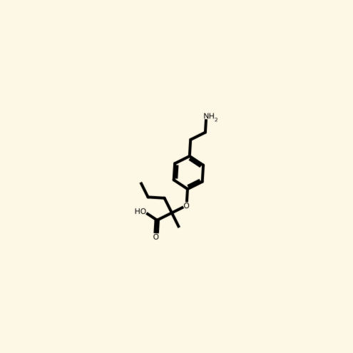 CCCC(C)(Oc1ccc(CCN)cc1)C(=O)O